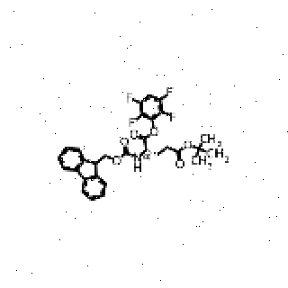 CC(C)(C)OC(=O)CC[C@H](NC(=O)OCC1c2ccccc2-c2ccccc21)C(=O)Oc1c(F)c(F)cc(F)c1F